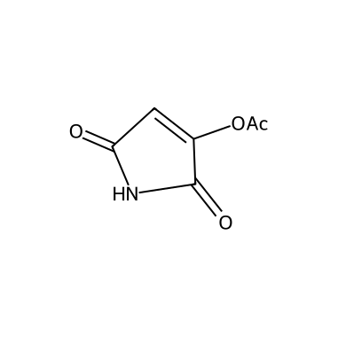 CC(=O)OC1=CC(=O)NC1=O